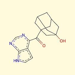 O=C(c1ncnc2[nH]ccc12)C12CC3CC(CC(O)(C3)C1)C2